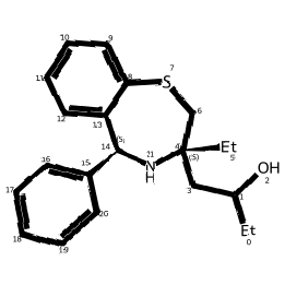 CCC(O)C[C@@]1(CC)CSc2ccccc2[C@H](c2ccccc2)N1